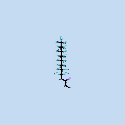 CCC(I)CC(F)(F)C(F)(F)C(F)(F)C(F)(F)C(F)(F)C(F)(F)C(F)(F)C(F)(F)F